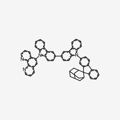 c1ccc2c(c1)-c1ccc(-n3c4ccccc4c4cc(-c5ccc6c(c5)c5ccccc5n6-c5cc6cccnc6c6ncccc56)ccc43)cc1C21C2CC3CC(C2)CC1C3